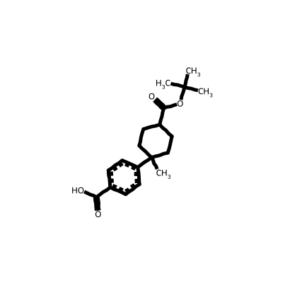 CC(C)(C)OC(=O)C1CCC(C)(c2ccc(C(=O)O)cc2)CC1